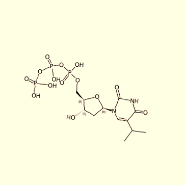 CC(C)c1cn([C@H]2C[C@H](O)[C@@H](COP(=O)(O)OP(=O)(O)OP(=O)(O)O)O2)c(=O)[nH]c1=O